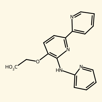 O=C(O)COc1ccc(-c2ccccn2)nc1Nc1ccccn1